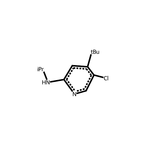 CC(C)Nc1cc(C(C)(C)C)c(Cl)cn1